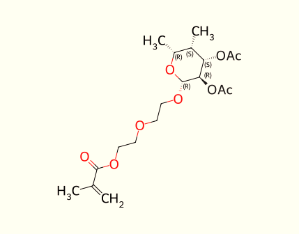 C=C(C)C(=O)OCCOCCO[C@@H]1O[C@H](C)[C@H](C)[C@H](OC(C)=O)[C@H]1OC(C)=O